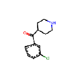 O=C(c1cccc(Cl)c1)C1CCNCC1